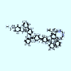 CC1C=CC(CN2c3cc(N(c4ccccc4)c4ccc(-c5ccc(N(c6ccccc6)c6ccc7c(c6)N(c6ccccc6)C/C=C\C=C/C7C)cc5)cc4)ccc3C3C=CC=CC32)=CC1